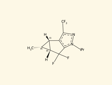 CC(C)n1nc(C(F)(F)F)c2c1C(F)(F)[C@@H]1[C@H](C)[C@H]21